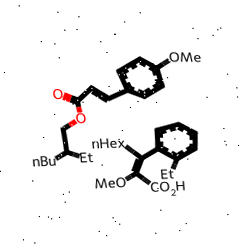 CCCCC(CC)COC(=O)C=Cc1ccc(OC)cc1.CCCCCCC(=C(OC)C(=O)O)c1ccccc1CC